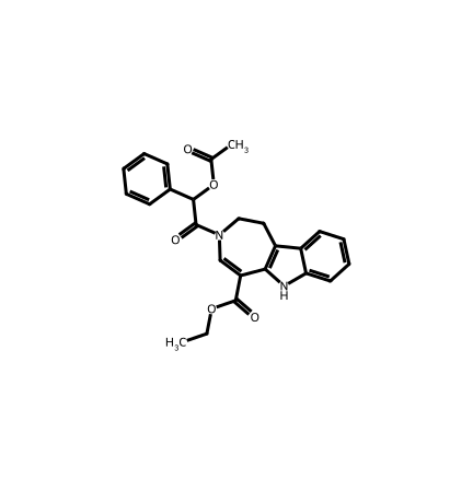 CCOC(=O)C1=CN(C(=O)C(OC(C)=O)c2ccccc2)CCc2c1[nH]c1ccccc21